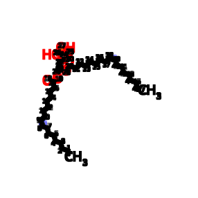 CCCCCCCC/C=C\CCCCCCCC(=O)OC[C@H](COP(=O)(O)O)OC(=O)CCCCCCC/C=C\CCCCCCCC